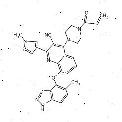 C=CC(=O)N1CCN(c2c(C#N)c(-c3cnn(C)c3)nc3c(Oc4c(C)ccc5[nH]ncc45)cccc23)CC1